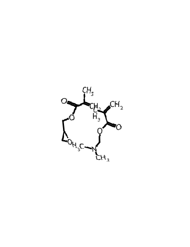 C=C(C)C(=O)OCC1CO1.C=C(C)C(=O)OCN(C)C